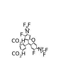 O=C(O)c1ccc(C(=O)O)c(-c2c3cc(F)c(=[N+]4CC(F)(F)C4)cc-3oc3cc(N4CC(F)(F)C4)c(F)cc23)c1